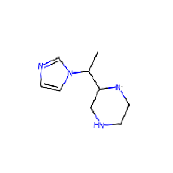 CC(C1CNCC[N]1)n1ccnc1